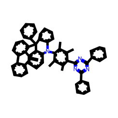 C=C1c2ccccc2-c2cccc(C3(c4ccccc4)c4ccccc4N(c4c(C)c(C)c(-c5nc(-c6ccccc6)nc(-c6ccccc6)n5)c(C)c4C)c4ccccc43)c21